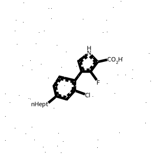 CCCCCCCc1ccc(-c2c[nH]c(C(=O)O)c2F)c(Cl)c1